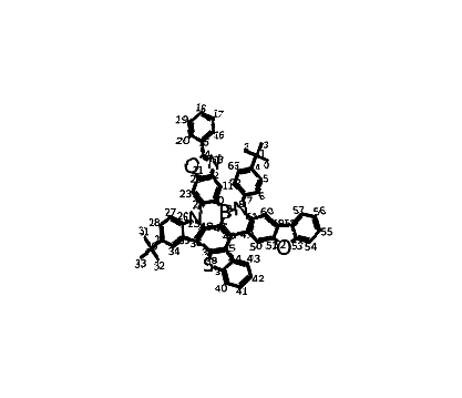 CC(C)(C)c1ccc(N2B3c4cc5nc(-c6ccccc6)oc5cc4-n4c5ccc(C(C)(C)C)cc5c5c6sc7ccccc7c6c(c3c54)-c3cc4oc5ccccc5c4cc32)cc1